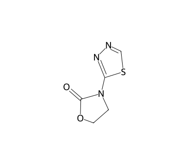 O=C1OCCN1c1nncs1